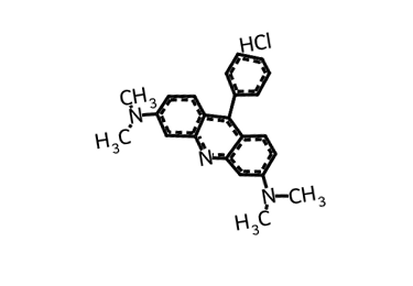 CN(C)c1ccc2c(-c3ccccc3)c3ccc(N(C)C)cc3nc2c1.Cl